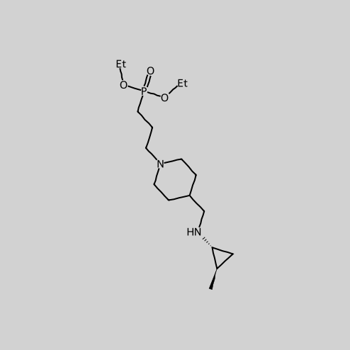 CCOP(=O)(CCCN1CCC(CN[C@@H]2C[C@H]2C)CC1)OCC